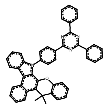 CC1(C)c2ccccc2Oc2c1c1ccccc1c1c3ccccc3n(-c3ccc(-c4nc(-c5ccccc5)nc(-c5ccccc5)n4)cc3)c21